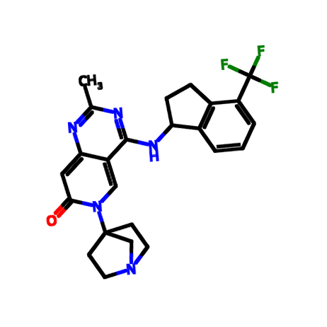 Cc1nc(NC2CCc3c2cccc3C(F)(F)F)c2cn(C34CCN(CC3)C4)c(=O)cc2n1